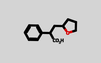 O=C(O)C(CC1CCCO1)c1ccccc1